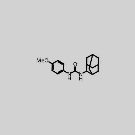 COc1ccc(NC(=O)NC2C3CC4CC(C3)CC2C4)cc1